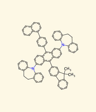 CC1(C)c2ccccc2-c2ccc(-c3c4ccc(N5c6ccccc6CCc6ccccc65)cc4c(-c4ccc(-c5cccc6ccccc56)cc4)c4ccc(N5c6ccccc6CCc6ccccc65)cc34)cc21